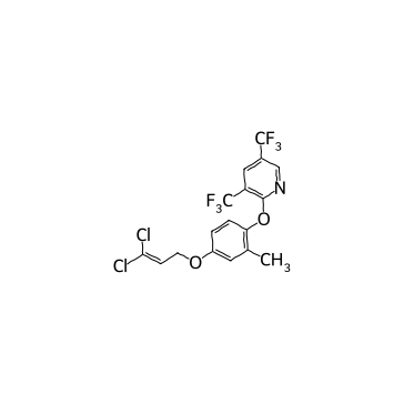 Cc1cc(OCC=C(Cl)Cl)ccc1Oc1ncc(C(F)(F)F)cc1C(F)(F)F